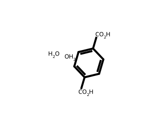 O.O.O=C(O)c1ccc(C(=O)O)cc1